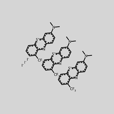 CN(C)c1ccc2nc3c(C(F)(F)F)cccc3[s+]c2c1.CN(C)c1ccc2nc3c(C(F)(F)F)cccc3[s+]c2c1.CN(C)c1ccc2nc3c(C(F)(F)F)cccc3[s+]c2c1.[I-].[I-].[I-]